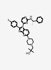 C[C@H](Nc1nccc(-n2c(-c3ccc(F)cc3)nc3nc(N4CCN(CC(C)(C)O)CC4)ccc32)n1)c1ccccc1